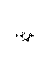 CCC(=O)OC1CC1N(C)C